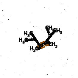 CCCCCCCCCCC(CCCCCCCC)CCCCCCCCc1c(-c2ccc(C)s2)sc2c1sc1c2sc2c3sc(-c4ccc(C)s4)c(CCCCCCCCC(CCCCCCCC)CCCCCCCCCC)c3sc21